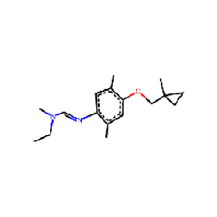 CCN(C)C=Nc1cc(C)c(OCC2(C)CC2)cc1C